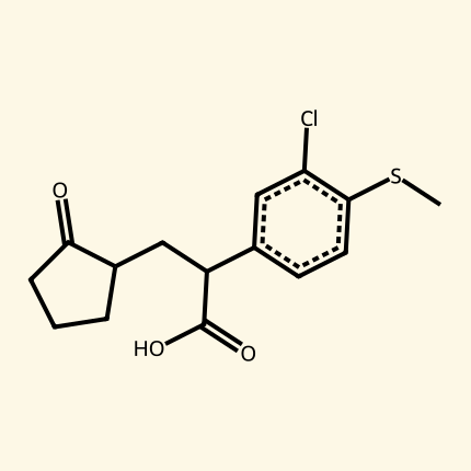 CSc1ccc(C(CC2CCCC2=O)C(=O)O)cc1Cl